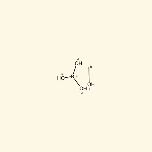 CO.OB(O)O